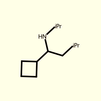 CC(C)CC(NC(C)C)C1CCC1